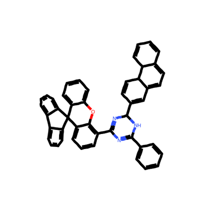 C1=CC2=CC=C3C=C(C4N=C(c5cccc6c5Oc5ccccc5C65c6ccccc6-c6ccccc65)N=C(c5ccccc5)N4)C=CC3C2C=C1